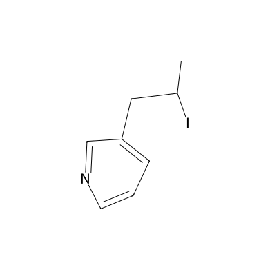 CC(I)Cc1cccnc1